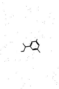 CCCCc1cc(C)cc([C](C)CO)c1